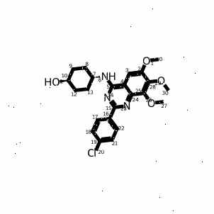 COc1cc2c(N[C@H]3CC[C@H](O)CC3)nc(-c3ccc(Cl)cc3)nc2c(OC)c1OC